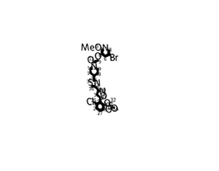 COc1ncc(Br)cc1OCC(=O)N1CCC(c2nc(C3=NOC(c4c(Cl)cccc4OS(C)(=O)=O)C3)cs2)CC1